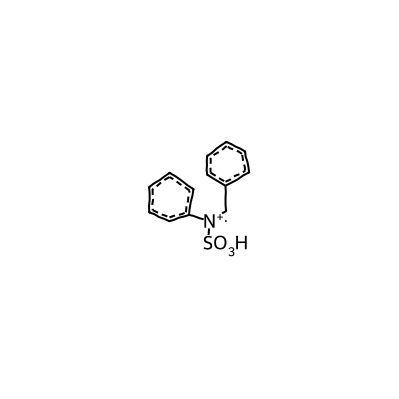 O=S(=O)(O)[N+](Cc1ccccc1)c1ccccc1